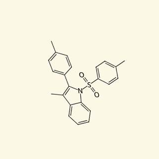 Cc1ccc(-c2c(C)c3ccccc3n2S(=O)(=O)c2ccc(C)cc2)cc1